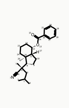 CC(C)C[C@](C)(C#N)[C@H]1CC[C@H]2[C@@H](OC(=O)c3ccccc3)CCC[C@@]21C